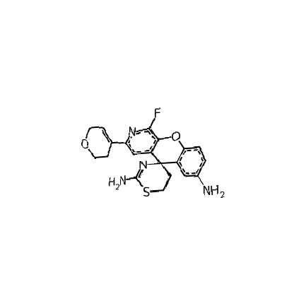 NC1=N[C@@]2(CCS1)c1cc(N)ccc1Oc1c2cc(C2=CCOCC2)nc1F